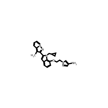 Cc1c(-c2cc3cccc(OCCn4cc(N)cn4)c3n2CC2CC2)nn2c[c]ccc12